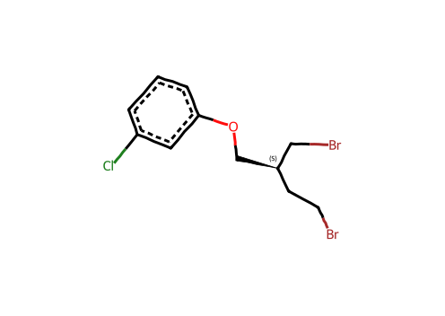 Clc1cccc(OC[C@@H](CBr)CCBr)c1